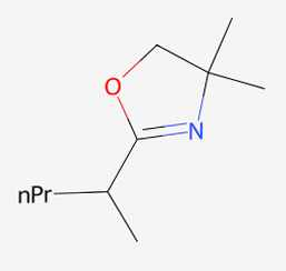 [CH2]CCC(C)C1=NC(C)(C)CO1